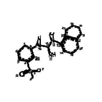 CS(=O)(=O)c1cccc(NC(=N)Nc2cccc3ccccc23)c1